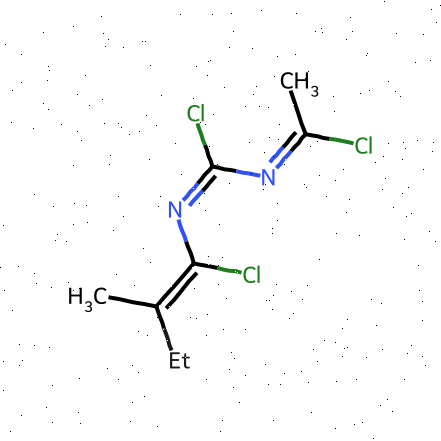 CC/C(C)=C(Cl)/N=C(Cl)\N=C(/C)Cl